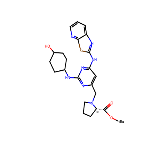 CC(C)(C)OC(=O)[C@@H]1CCCN1Cc1cc(Nc2nc3cccnc3s2)nc(NC2CCC(O)CC2)n1